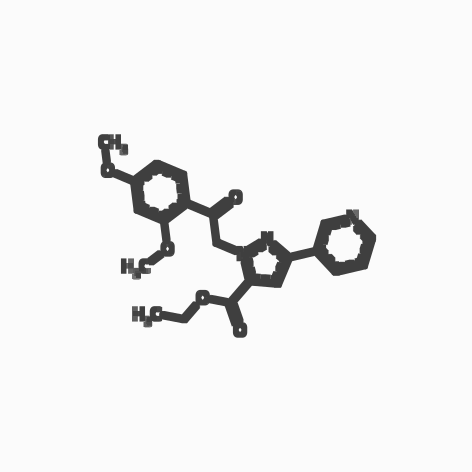 CCOC(=O)c1cc(-c2cccnc2)nn1CC(=O)c1ccc(OC)cc1OC